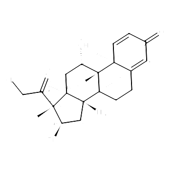 CC[C@@H]1C[C@H]2[C@@H]3CCC4=CC(=O)C=C[C@]4(C)[C@@]3(F)[C@@H](O)C[C@]2(C)[C@@]1(C)C(=O)CCl